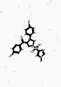 Cn1cnc(S(=O)(=O)N2CC(C(=O)c3ccc(F)cc3)C(c3ccc(F)cc3)C2)c1